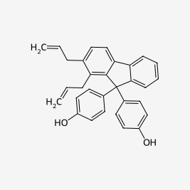 C=CCc1ccc2c(c1CC=C)C(c1ccc(O)cc1)(c1ccc(O)cc1)c1ccccc1-2